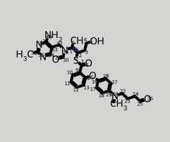 C/C(=C(\CCO)SC(=O)c1ccccc1Oc1ccc(N(C)CCCC=O)cc1)N(C=O)Cc1cnc(C)nc1N